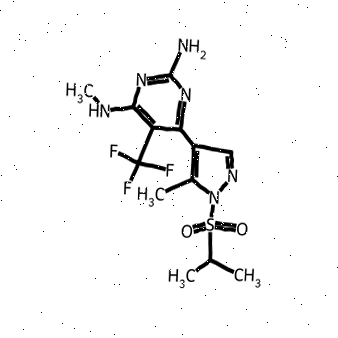 CNc1nc(N)nc(-c2cnn(S(=O)(=O)C(C)C)c2C)c1C(F)(F)F